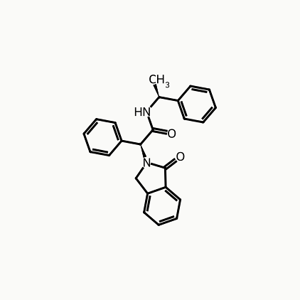 C[C@H](NC(=O)[C@H](c1ccccc1)N1Cc2ccccc2C1=O)c1ccccc1